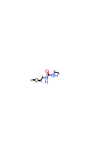 C=C=CCNC(=O)NCC